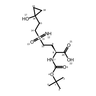 CC(C)(C)OC(=O)N[C@@H](CCS(=N)(=O)CCC1(O)CC1)C(=O)O